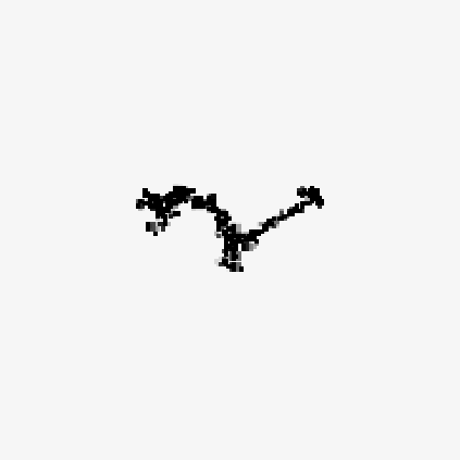 CC(C)[C@H](NC(=O)CCOCCOCCOCCOCCN1C(=O)C=CC1=O)C(=O)N[C@@H](CCCNC(N)=O)C(=O)Nc1ccc(COC(=O)NCCOc2cnc3ccc(-c4[nH]c(CN)nc4-c4ccc(F)c(Cl)c4)cc3n2)cc1